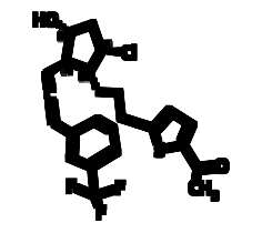 CC(=O)c1ccc(CCC[C@@H]2[C@@H](C=C=Cc3cccc(C(F)(F)F)c3)[C@H](O)C[C@H]2Cl)s1